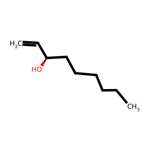 C=C[C@H](O)CCCCCC